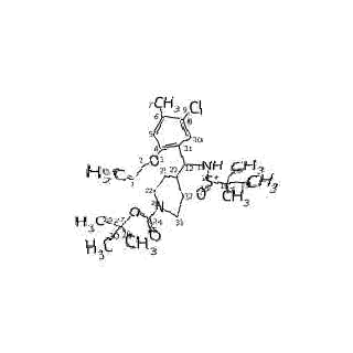 C=CCOc1cc(C)c(Cl)cc1C(N[S@@+]([O-])C(C)(C)C)C1CCN(C(=O)OC(C)(C)C)CC1